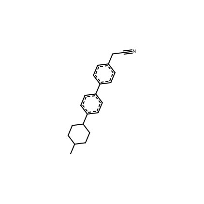 CC1CCC(c2ccc(-c3ccc(CC#N)cc3)cc2)CC1